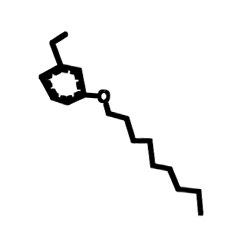 CCCCCCCCCOc1cccc(CC)c1